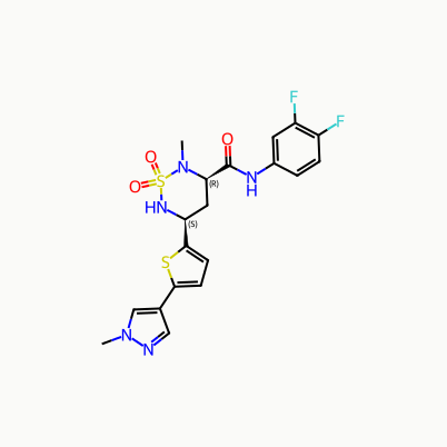 CN1[C@@H](C(=O)Nc2ccc(F)c(F)c2)C[C@@H](c2ccc(-c3cnn(C)c3)s2)NS1(=O)=O